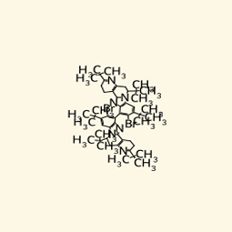 CC(C)(C)C1=NC2=C(CC1)c1nc3c(-c4c(Br)c(C(C)(C)C)cc5c4nc4n5C(C(C)(C)C)CC5=C4CCC(C(C)(C)C)=N5)c(Br)c(C(C)(C)C)cc3n1C(C(C)(C)C)C2